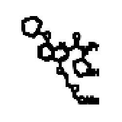 COCOCCOc1cc(C(=O)N(C(C)C)[C@@H]2CCCNC2)nc2c(OC3CCCCCC3)cccc12